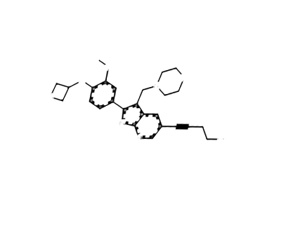 COc1cc(-c2[nH]c3ncc(C#CCCO)cc3c2CN2CCOCC2)ccc1OC1COC1